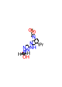 CC(C)c1ccc(N2CC(CS(C)(=O)=O)C2)c2cnc(Nc3ccnc(N4C[C@@H]5C6[C@@H]4[C@@]65O)n3)cc12